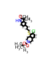 CC(C)(C)OC(=O)N1CCc2ccc(Cl)c(SCCCc3ccc4c(c3)C(C)(C)C(=O)N4)c2CC1